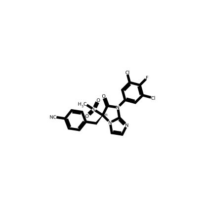 CS(=O)(=O)[C@]1(Cc2ccc(C#N)cc2)C(=O)N(c2cc(Cl)c(F)c(Cl)c2)c2nccn21